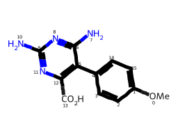 COc1ccc(-c2c(N)nc(N)nc2C(=O)O)cc1